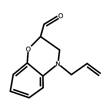 C=CCN1CC(C=O)Oc2ccccc21